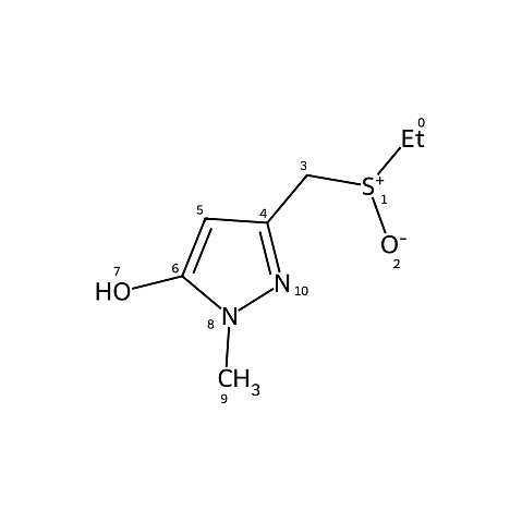 CC[S+]([O-])Cc1cc(O)n(C)n1